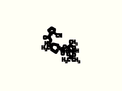 CC1O[C@@H]2OC(C)(C)O[C@@H]2C1OC(=O)N1CCC(C)(NCC(=O)N2CCC[C@H]2C#N)CC1